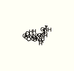 CC(C)(C)[C@H](NC(=O)NC1(C2CCCCS2(=O)=O)CCCCC1)C(=O)N1C[C@H]2[C@@H]([C@H]1C(=O)NCC(=O)C(=O)NC1CC1)C2(C)C